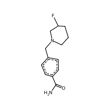 NC(=O)c1ccc(CN2CCCC(F)C2)cc1